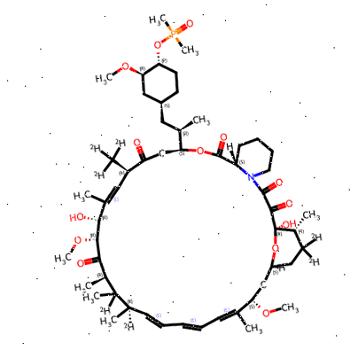 [2H]C([2H])([2H])[C@@H]1/C=C(\C)[C@@H](O)[C@@H](OC)C(=O)[C@H](C)C([2H])(C)[C@]([2H])(C)/C=C/C=C/C=C(\C)[C@@H](OC)C[C@@H]2CC([2H])([2H])[C@@H](C)[C@@](O)(O2)C(=O)C(=O)N2CCCC[C@H]2C(=O)O[C@H]([C@H](C)C[C@@H]2CC[C@@H](OP(C)(C)=O)[C@H](OC)C2)CC1=O